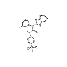 Cc1cccc(N(C(=O)C(C)c2ccc(S(C)(=O)=O)cc2)c2nc3ccccc3o2)c1